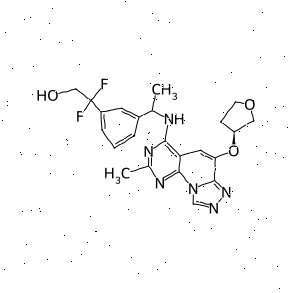 Cc1nc(NC(C)c2cccc(C(F)(F)CO)c2)c2cc(O[C@H]3CCOC3)c3nncn3c2n1